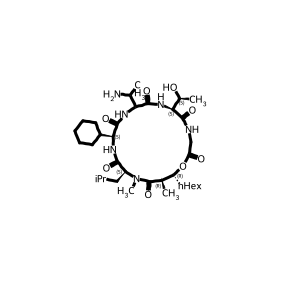 CCCCCC[C@H]1OC(=O)CNC(=O)[C@H]([C@H](C)O)NC(=O)C(C(C)N)NC(=O)[C@H](C2CCCCC2)NC(=O)[C@H](CC(C)C)N(C)C(=O)[C@@H]1C